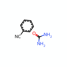 N#Cc1ccccc1.NC(N)=O